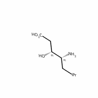 CC(C)C[C@@H](N)[C@H](O)CC(=O)O